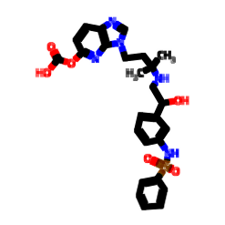 CC(C)(CCn1cnc2ccc(OC(=O)O)nc21)NCC(O)c1cccc(NS(=O)(=O)c2ccccc2)c1